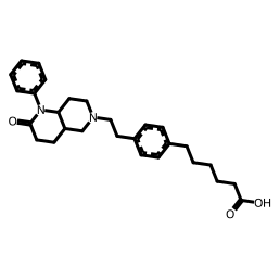 O=C(O)CCCCCc1ccc(CCN2CCC3C(CCC(=O)N3c3ccccc3)C2)cc1